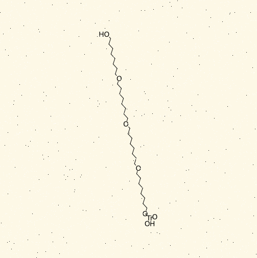 [O]=[Ti]([OH])[O]CCCCCCCCOCCCCCCCCOCCCCCCCCOCCCCCCCCO